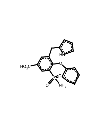 NS(=O)(=O)c1cc(C(=O)O)cc(Cc2ccc[nH]2)c1Oc1ccccc1